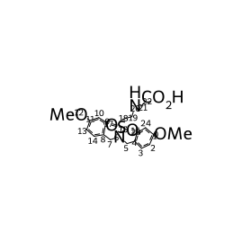 COc1ccc(CN(Cc2ccc(OC)cc2)S(=O)(=O)CCNCC(=O)O)cc1